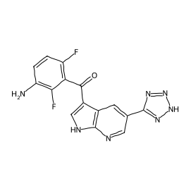 Nc1ccc(F)c(C(=O)c2c[nH]c3ncc(-c4nn[nH]n4)cc23)c1F